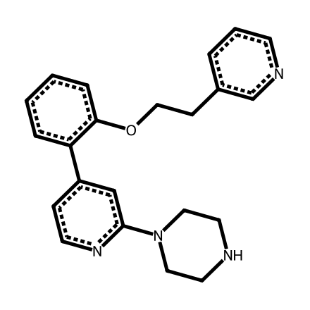 c1cncc(CCOc2ccccc2-c2ccnc(N3CCNCC3)c2)c1